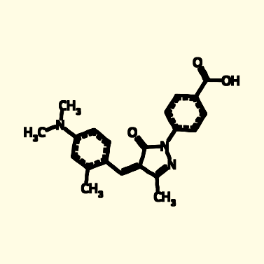 CC1=NN(c2ccc(C(=O)O)cc2)C(=O)C1=Cc1ccc(N(C)C)cc1C